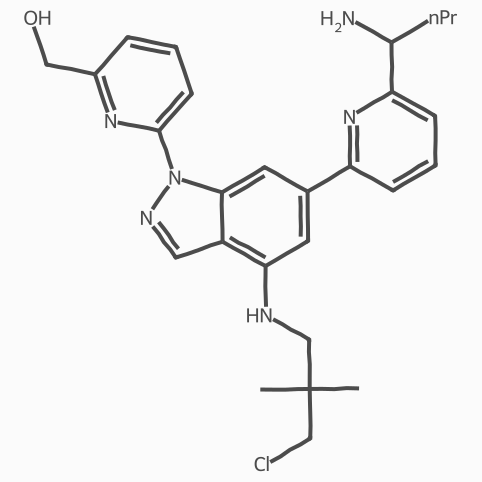 CCCC(N)c1cccc(-c2cc(NCC(C)(C)CCl)c3cnn(-c4cccc(CO)n4)c3c2)n1